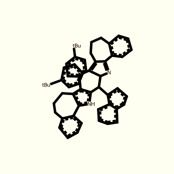 CC(C)(C)c1ccc(C2=C3CCCc4ccccc4C3=NC2C(c2[nH]c3c(c2-c2ccc(C(C)(C)C)cc2)CCCc2ccccc2-3)c2cccc3ccccc23)cc1